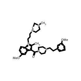 COc1cccc(CCN2CCN(C(=O)c3c(C)n(CCCN4CCN(C)CC4)c4ccc(OC)cc34)CC2)c1